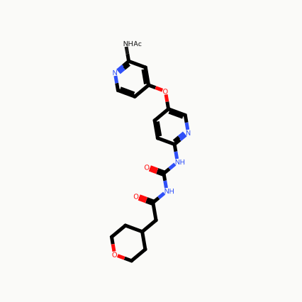 CC(=O)Nc1cc(Oc2ccc(NC(=O)NC(=O)CC3CCOCC3)nc2)ccn1